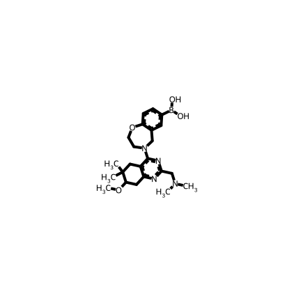 COC1Cc2nc(CN(C)C)nc(N3CCOc4ccc(B(O)O)cc4C3)c2CC1(C)C